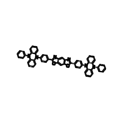 c1ccc(B2c3ccccc3N(c3ccc(-c4nc5cc6nc(-c7ccc(N8c9ccccc9B(c9ccccc9)c9ccccc98)cc7)oc6cc5o4)cc3)c3ccccc32)cc1